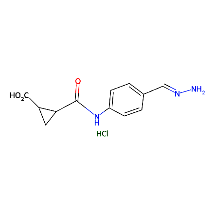 Cl.NN=Cc1ccc(NC(=O)C2CC2C(=O)O)cc1